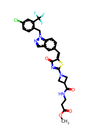 COC(=O)CCNC(=O)C1CN(C2=NC(=O)C(=Cc3ccc4c(cnn4Cc4ccc(Cl)cc4C(F)(F)F)c3)S2)C1